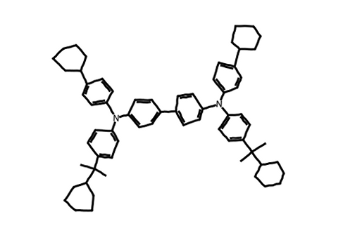 CC(C)(c1ccc(N(c2ccc(-c3ccc(N(c4ccc(C5CCCCC5)cc4)c4ccc(C(C)(C)C5CCCCC5)cc4)cc3)cc2)c2ccc(C3CCCCC3)cc2)cc1)C1CCCCC1